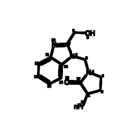 CCCC1CCN(Cn2c(CO)nc3ccccc32)C1=O